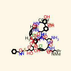 CN[C@@H](CC(C)C)C(=O)NC1C(=O)NC(CC(N)=O)C(=O)NC2C(=O)NC3C(=O)N[C@H](C(=O)NC(C(=O)O)c4cc(O)cc(O)c4-c4cc3ccc4O)[C@H](O)c3ccc(c(Cl)c3)Oc3cc2cc(c3OC2OC(CSc3nnc(-c4ccccc4)o3)C(O)C(O)C2OC2CC(N)(I)C(O)C(C)O2)Oc2ccc(cc2Cl)C1O